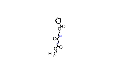 CCOC(=O)/C=C/C(=O)/C=C/COC(=O)c1ccccc1